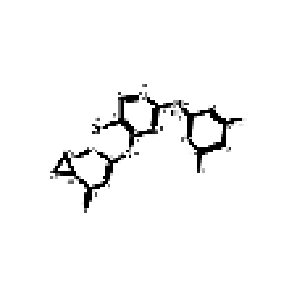 C=C(/C=C(\NC)Nc1nc(Nc2cc(C)cc(C)c2)ncc1Br)C1CC1